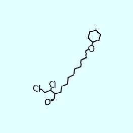 O=[C]C(CCCCCCCCCCOC1CC[CH]CC1)C(Cl)CCl